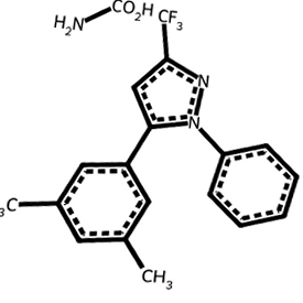 Cc1cc(C)cc(-c2cc(C(F)(F)F)nn2-c2ccccc2)c1.NC(=O)O